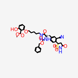 COC(=O)c1c(O)cccc1OCCCCCNC(=O)[C@H](Cc1ccc(C2CC(=O)NS2(=O)=O)c(C#N)c1)NC(=O)OCc1ccccc1